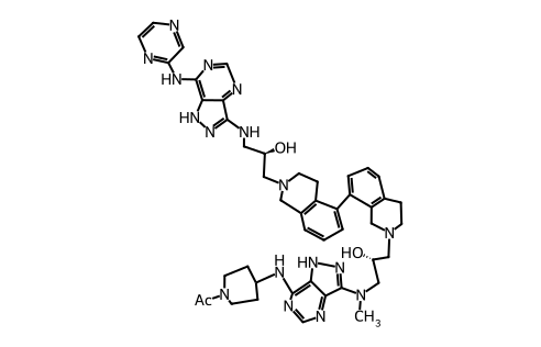 CC(=O)N1CCC(Nc2ncnc3c(N(C)C[C@H](O)CN4CCc5cccc(-c6cccc7c6CCN(C[C@H](O)CNc6n[nH]c8c(Nc9cnccn9)ncnc68)C7)c5C4)n[nH]c23)CC1